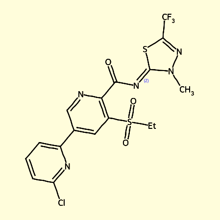 CCS(=O)(=O)c1cc(-c2cccc(Cl)n2)cnc1C(=O)/N=c1\sc(C(F)(F)F)nn1C